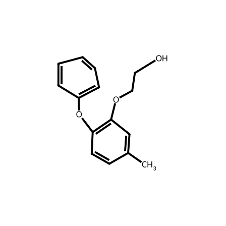 Cc1ccc(Oc2ccccc2)c(OCCO)c1